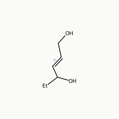 CCC(O)/C=C/CO